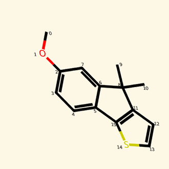 COc1ccc2c(c1)C(C)(C)c1ccsc1-2